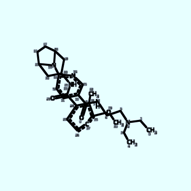 CCN(CC)CCNC(=O)c1ccc(N2C3CCC2CC(NC(=O)c2cccc(OC)c2C)C3)nc1